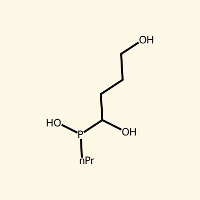 CCCP(O)C(O)CCCO